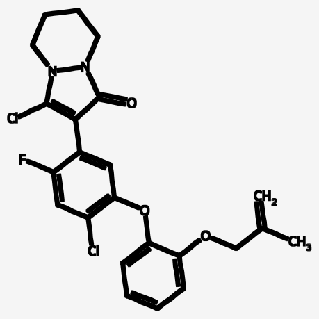 C=C(C)COc1ccccc1Oc1cc(-c2c(Cl)n3n(c2=O)CCCC3)c(F)cc1Cl